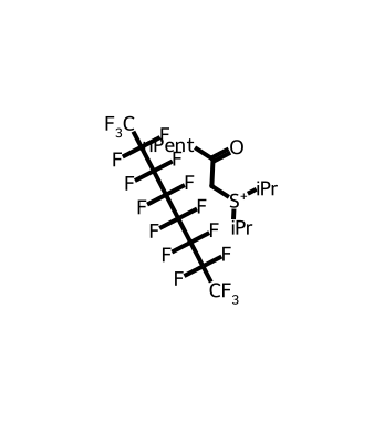 CCCCCC(=O)C[S+](C(C)C)C(C)C.FC(F)(F)C(F)(F)C(F)(F)C(F)(F)C(F)(F)C(F)(F)C(F)(F)C(F)(F)F